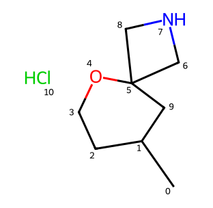 CC1CCOC2(CNC2)C1.Cl